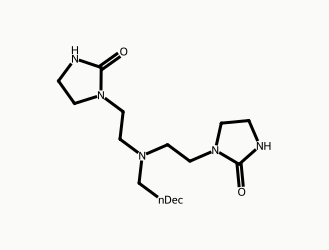 CCCCCCCCCCCN(CCN1CCNC1=O)CCN1CCNC1=O